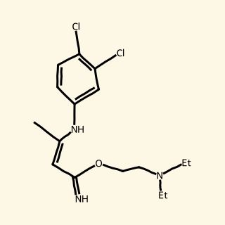 CCN(CC)CCOC(=N)/C=C(/C)Nc1ccc(Cl)c(Cl)c1